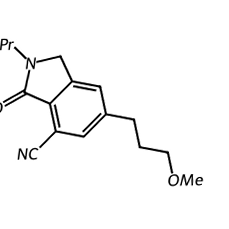 COCCCc1cc(C#N)c2c(c1)CN(C(C)C)C2=O